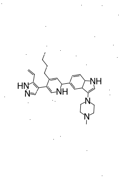 C=Cc1[nH]ncc1C1=CNC(C2=CC3C(N4CCN(C)CC4)=CNC3C=C2)C=C1CCCC